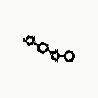 c1ccc(-c2ncn(-c3ccc(-n4cncn4)cc3)n2)cc1